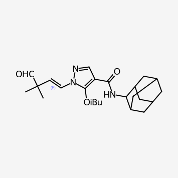 CC(C)COc1c(C(=O)NC2C3CC4CC(C3)CC2C4)cnn1/C=C/C(C)(C)C=O